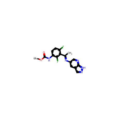 C/C(=N\c1cnc2[nH]ncc2c1)c1c(F)ccc(NC(=O)OC(C)(C)C)c1F